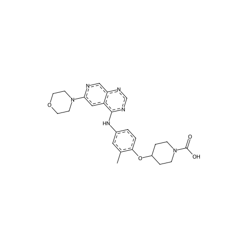 Cc1cc(Nc2ncnc3cnc(N4CCOCC4)cc23)ccc1OC1CCN(C(=O)O)CC1